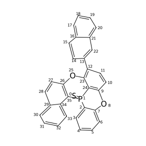 S=P12c3ccccc3Oc3ccc(-c4ccc5ccccc5c4)c(c31)Oc1ccc3ccccc3c12